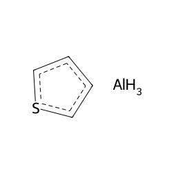 [AlH3].c1ccsc1